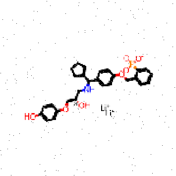 O=P([O-])([O-])c1ccccc1COc1ccc(C(NC[C@H](O)COc2ccc(O)cc2)C2CCCC2)cc1.[Li+].[Li+]